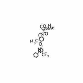 CN[C@H](CC(=O)O)C(=O)N1CCc2c1ccc(OCc1cc(C(F)(F)F)n(-c3ccccc3)n1)c2C